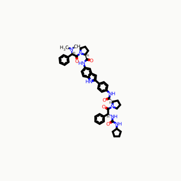 CN(C)[C@@H](C(=O)N1CCC[C@H]1C(=O)Nc1ccc2[nH]c(-c3ccc(NC(=O)[C@@H]4CCCN4C(=O)[C@H](NC(=O)NC4CCCC4)c4ccccc4)cc3)cc2c1)c1ccccc1